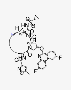 Cc1cc(C(=O)N[C@H]2CCCCC/C=C\[C@@H]3C[C@@]3(C(=O)NS(=O)(=O)C3CC3)NC(=O)[C@@H]3C[C@@H](Oc4nc5cc(F)ccc5c5cc(F)ccc45)CN3C2=O)no1